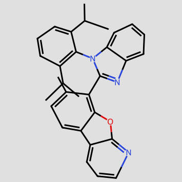 Cc1ccc2c(oc3ncccc32)c1-c1nc2ccccc2n1-c1c(C(C)C)cccc1C(C)C